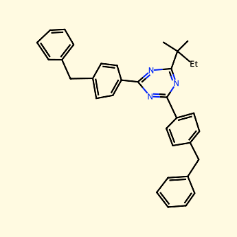 CCC(C)(C)c1nc(-c2ccc(Cc3ccccc3)cc2)nc(-c2ccc(Cc3ccccc3)cc2)n1